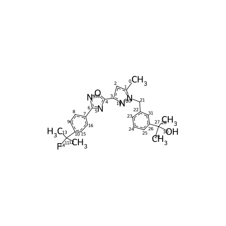 Cc1cc(-c2nc(-c3ccc(C(C)(C)F)cc3)no2)nn1Cc1cccc(C(C)(C)O)c1